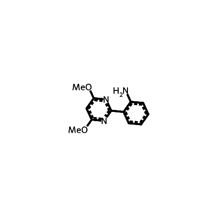 COc1cc(OC)nc(-c2ccccc2N)n1